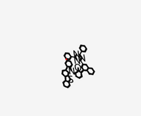 c1ccc(-c2nc(-c3ccccc3)nc(-c3cc4ccccc4c4c3oc3c(-n5c6ccccc6c6ccc7c8ccccc8sc7c65)cccc34)n2)cc1